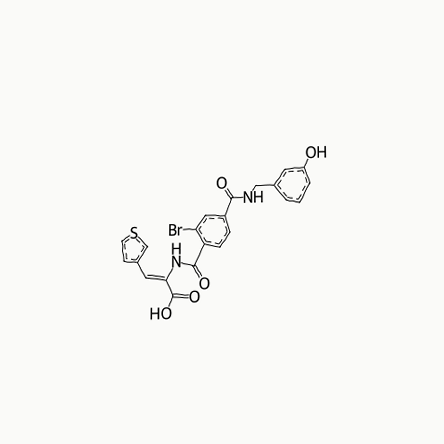 O=C(O)/C(=C/c1ccsc1)NC(=O)c1ccc(C(=O)NCc2cccc(O)c2)cc1Br